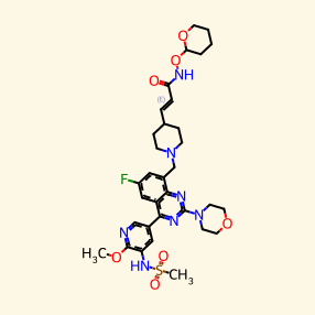 COc1ncc(-c2nc(N3CCOCC3)nc3c(CN4CCC(/C=C/C(=O)NOC5CCCCO5)CC4)cc(F)cc23)cc1NS(C)(=O)=O